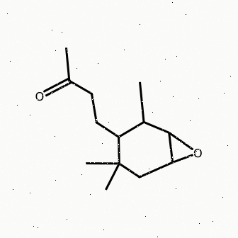 CC(=O)CCC1C(C)C2OC2CC1(C)C